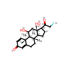 C[C@]12C=CC(=O)C=C1CC[C@@H]1[C@@H]2C(O)C[C@@]2(C)[C@H]1CC[C@]2(O)C(=O)CF